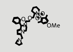 COc1cc(C)c(S(=O)(=O)N2CCCCC2COCC(=O)N2CCn3c(CN4CCCC4)ccc3C2c2ccccc2)c(C)c1